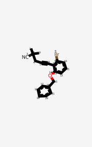 CC(C)(C#N)CC#Cc1c(Br)cccc1OCc1ccccc1